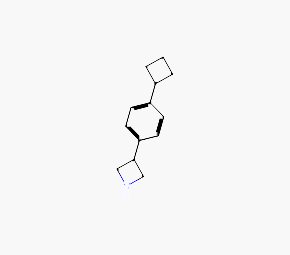 c1cc(C2CNC2)ccc1C1CCC1